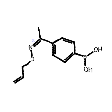 C=CCO/N=C(/C)c1ccc(B(O)O)cc1